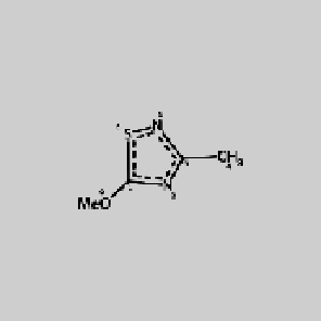 COc1nc(C)ns1